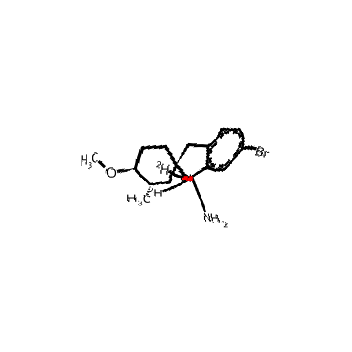 [2H]C1([2H])OC(N)=N[C@]12c1cc(Br)ccc1C[C@@]21CC[C@H](OC)[C@@H](C)C1